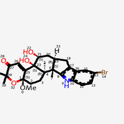 CO[C@]12CC[C@]3(C)[C@@]4(C)c5[nH]c6ccc(Br)cc6c5C[C@@H]4C[C@H](O)[C@@]3(O)C1=CC(=O)C(C)(C)O2